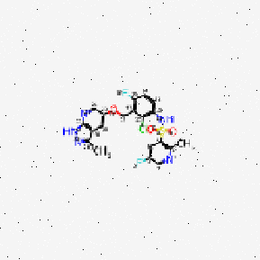 Cc1ncc(F)cc1S(=O)(=O)Nc1ccc(F)c(COc2cnc3[nH]nc(C)c3c2)c1Cl